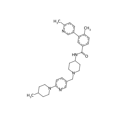 Cc1ccc(-c2cc(C(=O)NC3CCN(Cc4ccc(N5CCC(C)CC5)nc4)CC3)ccc2C)cn1